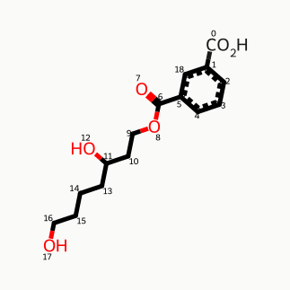 O=C(O)c1cccc(C(=O)OCCC(O)CCCCO)c1